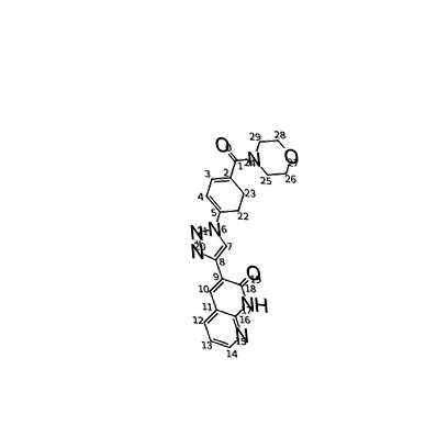 O=C(C1=CC=C(n2cc(-c3cc4cccnc4[nH]c3=O)nn2)CC1)N1CCOCC1